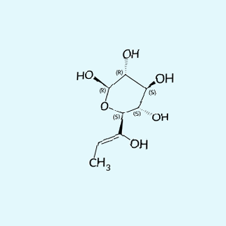 CC=C(O)[C@H]1O[C@@H](O)[C@H](O)[C@@H](O)[C@@H]1O